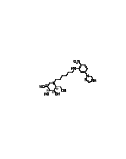 O=[N+]([O-])c1ccc(N2CNC=N2)cc1NCCCCCCN1C[C@H](O)[C@@H](O)[C@H](O)[C@H]1CO